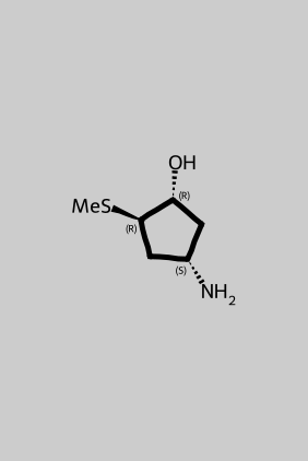 CS[C@@H]1C[C@@H](N)C[C@H]1O